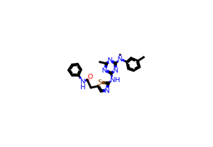 Cc1cccc(N(C)c2nc(C)nc(Nc3ncc(CC(=O)Nc4ccccc4)s3)n2)c1